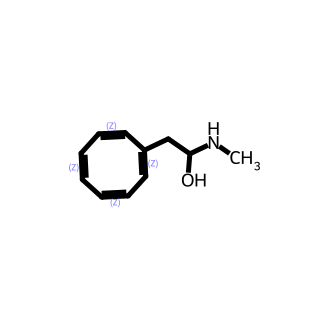 CNC(O)CC1=C/C=C\C=C/C=C\1